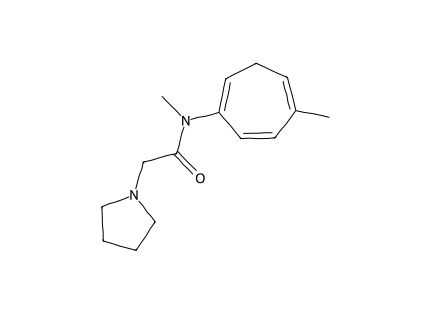 CC1=CCC=C(N(C)C(=O)CN2CCCC2)C=C1